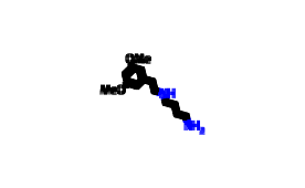 COc1cc(CCNCCCCN)cc(OC)c1